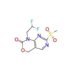 CS(=O)(=O)c1ncc2c(n1)N(CC(F)F)C(=O)OC2